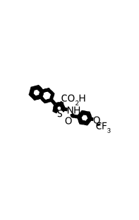 O=C(Nc1scc(C2CCc3ccccc3C2)c1C(=O)O)c1ccc(OC(F)(F)F)cc1